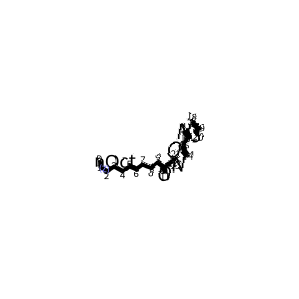 CCCCCCCC/C=C\CCCCCCCC(=O)c1ncc(-c2nccs2)o1